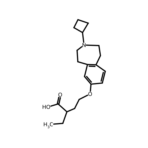 CCC(CCOc1ccc2c(c1)CCN(C1CCC1)CC2)C(=O)O